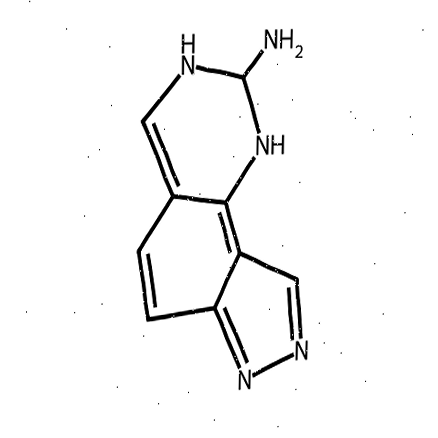 NC1NC=c2ccc3c(c2N1)C=NN=3